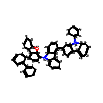 c1ccc(-c2ccccc2-c2ccc(-n3c4ccccc4c4c(-c5ccc6c7ccccc7n(-c7ccccc7)c6c5)cccc43)c3oc4ccccc4c23)cc1